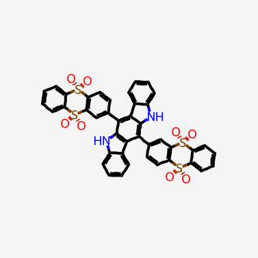 O=S1(=O)c2ccccc2S(=O)(=O)c2cc(-c3c4[nH]c5ccccc5c4c(-c4ccc5c(c4)S(=O)(=O)c4ccccc4S5(=O)=O)c4[nH]c5ccccc5c34)ccc21